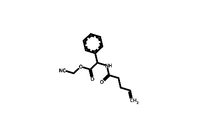 C=CCCC(=O)NC(C(=O)OCC#N)c1ccccc1